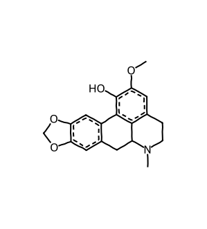 COc1cc2c3c(c1O)-c1cc4c(cc1CC3N(C)CC2)OCO4